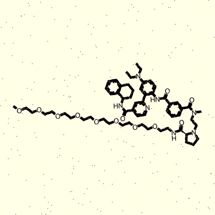 CCN(CC)c1ccc(NC(=O)c2cccc(C(=O)N(C)CCN3CCC[C@H]3C(=O)NCCOCCOCCOCCOCCOCCOCCOCCOC)c2)c(-c2cc(C(=O)NC3CCCc4ccccc43)ccn2)c1